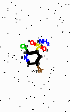 NS(=O)(=O)c1cc(Br)cnc1Cl